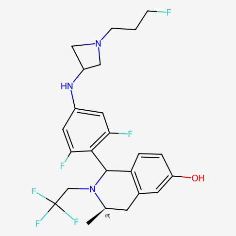 C[C@@H]1Cc2cc(O)ccc2C(c2c(F)cc(NC3CN(CCCF)C3)cc2F)N1CC(F)(F)F